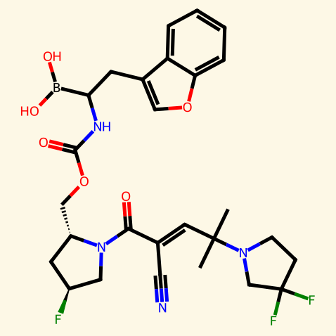 CC(C)(C=C(C#N)C(=O)N1C[C@@H](F)C[C@@H]1COC(=O)NC(Cc1coc2ccccc12)B(O)O)N1CCC(F)(F)C1